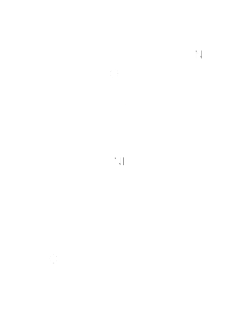 COc1ccc2cc(C(=O)CC#N)[nH]c2c1